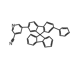 N#Cc1cncc(-c2ccc3c(c2)C2(c4ccccc4-c4ccccc42)c2cc(-c4ccccc4)ccc2-3)c1